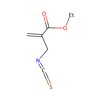 C=C(CN=C=S)C(=O)OCC